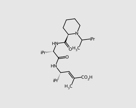 C/C(=C\[C@@H](NC(=O)[C@@H](NC(=O)[C@H]1CCCCN1C(C)C(C)C)C(C)C)C(C)C)C(=O)O